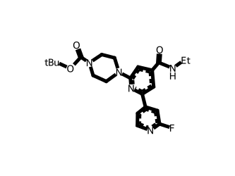 CCNC(=O)c1cc(-c2ccnc(F)c2)nc(N2CCN(C(=O)OC(C)(C)C)CC2)c1